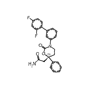 NC(=O)C[C@]1(c2ccccc2)CCN(c2cccc(-c3ccc(F)cc3F)c2)C(=O)O1